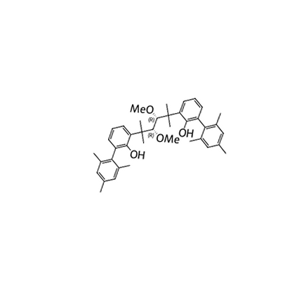 CO[C@@H]([C@H](OC)C(C)(C)c1cccc(-c2c(C)cc(C)cc2C)c1O)C(C)(C)c1cccc(-c2c(C)cc(C)cc2C)c1O